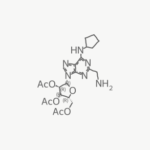 CC(=O)OC[C@H]1O[C@@H](n2cnc3c(NC4CCCC4)nc(CN)nc32)[C@H](OC(C)=O)[C@@H]1OC(C)=O